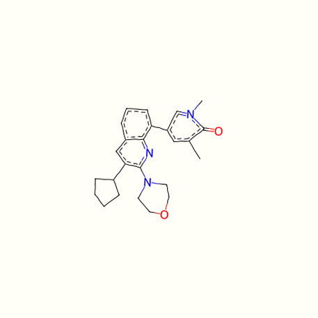 Cc1cc(-c2cccc3cc(C4CCCC4)c(N4CCOCC4)nc23)cn(C)c1=O